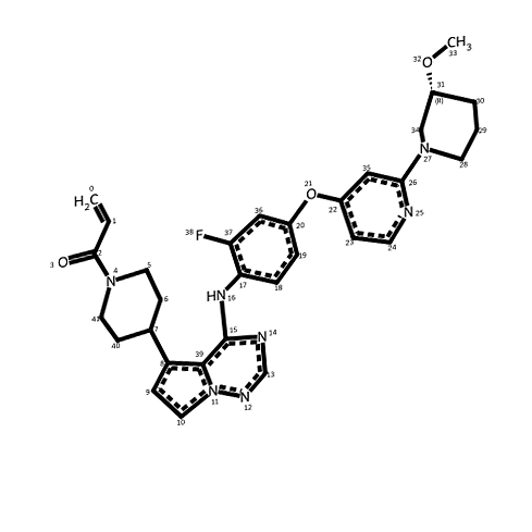 C=CC(=O)N1CCC(c2ccn3ncnc(Nc4ccc(Oc5ccnc(N6CCC[C@@H](OC)C6)c5)cc4F)c23)CC1